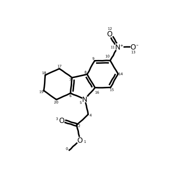 COC(=O)Cn1c2c(c3cc([N+](=O)[O-])ccc31)CCCC2